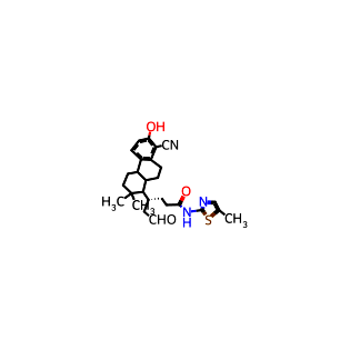 Cc1cnc(NC(=O)CC[C@H](CC=O)C2C3CCc4c(ccc(O)c4C#N)C3CCC2(C)C)s1